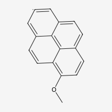 COc1ccc2ccc3c[c]cc4ccc1c2c34